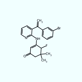 C=C(c1cccc(Br)c1)c1cccnc1NC1=CC(=O)CC(C)(C)C1F